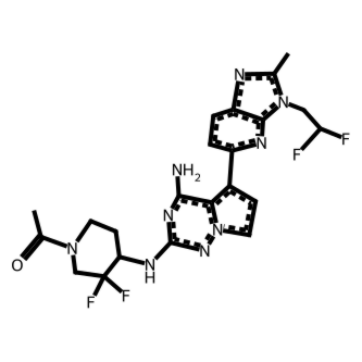 CC(=O)N1CCC(Nc2nc(N)c3c(-c4ccc5nc(C)n(CC(F)F)c5n4)ccn3n2)C(F)(F)C1